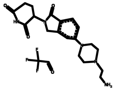 NCCN1CCN(c2ccc3c(c2)CN(C2CCC(=O)NC2=O)C3=O)CC1.O=CC(F)(F)F